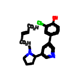 CN1CCCC1c1cncc(-c2ccc(O)c(Cl)c2)c1.O=C(O)C=CC(=O)O